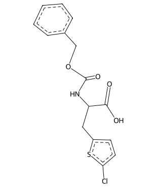 O=C(NC(Cc1ccc(Cl)s1)C(=O)O)OCc1ccccc1